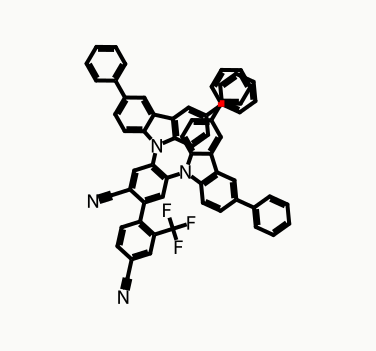 N#Cc1ccc(-c2cc(-n3c4ccc(-c5ccccc5)cc4c4cc(-c5ccccc5)ccc43)c(-n3c4ccc(-c5ccccc5)cc4c4cc(-c5ccccc5)ccc43)cc2C#N)c(C(F)(F)F)c1